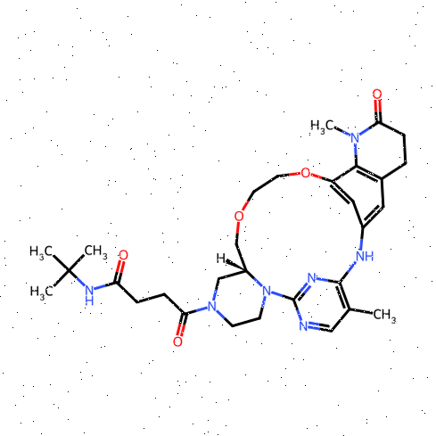 Cc1cnc2nc1Nc1cc3c(c(c1)OCCOC[C@H]1CN(C(=O)CCC(=O)NC(C)(C)C)CCN21)N(C)C(=O)CC3